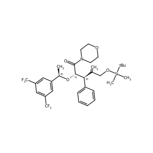 C=C(CO[Si](C)(C)C(C)(C)C)[C@@H](c1ccccc1)[C@H](O[C@H](C)c1cc(C(F)(F)F)cc(C(F)(F)F)c1)C(=O)N1CCOCC1